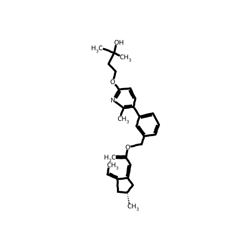 C=C(/C=C1/C[C@H](C)C/C1=C/C)OCc1cccc(-c2ccc(OCCC(C)(C)O)nc2C)c1